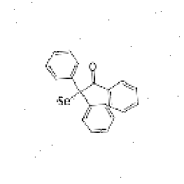 O=C(c1ccccc1)C([Se])(c1ccccc1)c1ccccc1